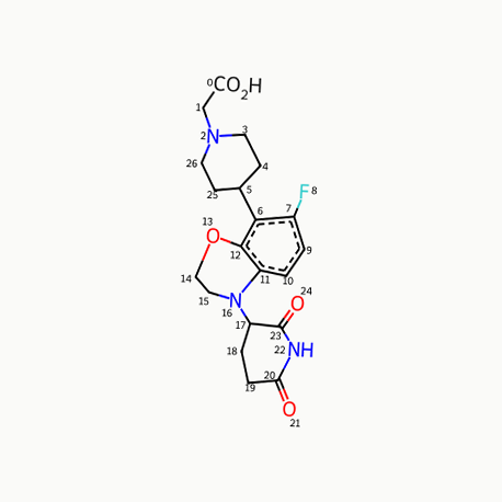 O=C(O)CN1CCC(c2c(F)ccc3c2OCCN3C2CCC(=O)NC2=O)CC1